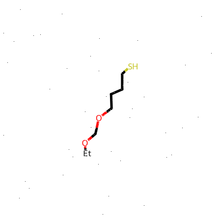 CCOCOCCCCS